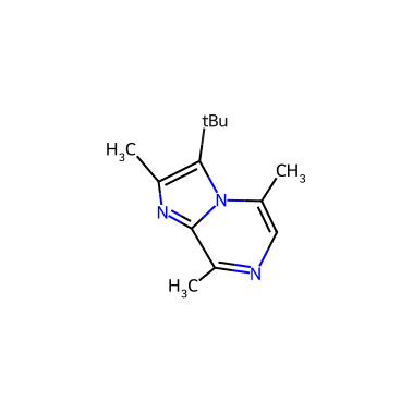 Cc1nc2c(C)ncc(C)n2c1C(C)(C)C